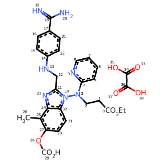 CCOC(=O)CCN(c1ccccn1)n1c(CNc2ccc(C(=N)N)cc2)nc2c(C)c(OC(=O)O)ccc21.O=C(O)C(=O)O